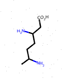 CC(N)CCC(N)CC(=O)O